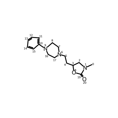 CN1CC(CCN2CCN(c3ccccc3)CC2)OC1=O